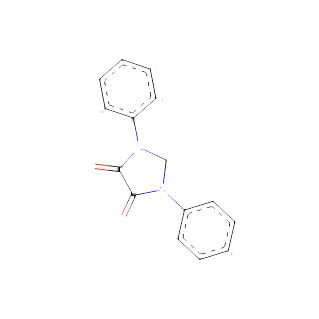 O=C1C(=O)N(c2ccccc2)CN1c1ccccc1